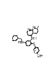 Cc1ccc2c(Nc3cc(NCc4ccccc4)ccc3Sc3ccc(O)cc3)ccnc2n1